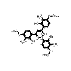 CCCCCCOc1ccc(C2=CC(c3ccc(OCCCCCC)c(C)c3O)=NN(c3ccc(OCCCCCC)c(C)c3O)N2)c(O)c1C